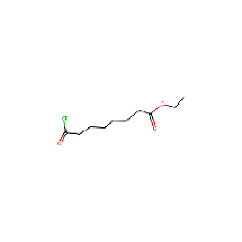 CCOC(=O)CCCCCCC(=O)Cl